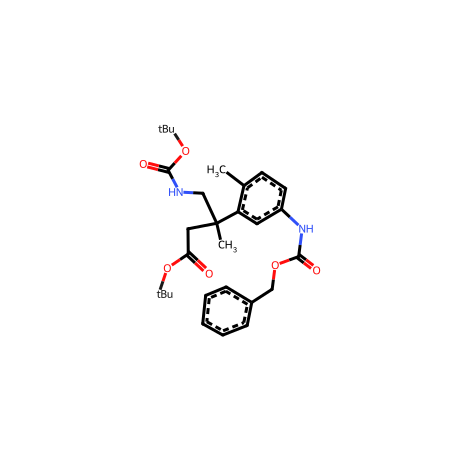 Cc1ccc(NC(=O)OCc2ccccc2)cc1C(C)(CNC(=O)OC(C)(C)C)CC(=O)OC(C)(C)C